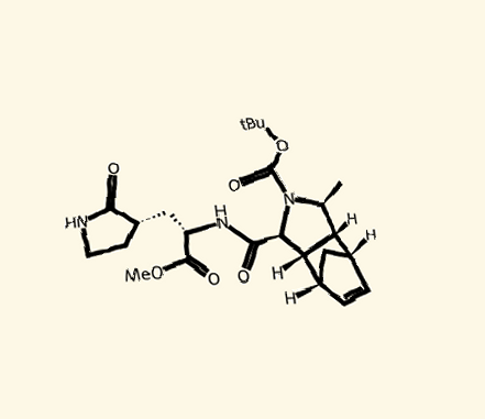 COC(=O)[C@H](C[C@@H]1CCNC1=O)NC(=O)[C@@H]1[C@@H]2[C@@H]([C@@H]3C=C[C@H]2C3)[C@H](C)N1C(=O)OC(C)(C)C